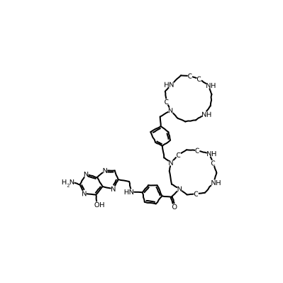 Nc1nc(O)c2nc(CNc3ccc(C(=O)N4CCCNCCNCCCN(Cc5ccc(CN6CCCNCCNCCCNCC6)cc5)CC4)cc3)cnc2n1